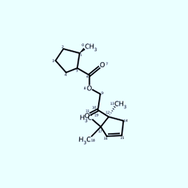 C[C@@H]1CCCC1C(=O)OCC(=O)[C@@]1(C)CC=CC1(C)C